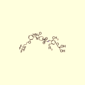 Cc1cc(OC[C@H](O)CO)cc(C)c1/C=C/S(=O)(=O)N1CCC2(CC1)N=C(c1cccc(OCCCC(F)(F)C(F)(F)F)c1)NC2=O